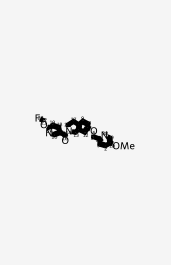 COc1ccc(COc2ccc3c(c2)CN(C(=O)c2ccc(OCF)nc2)CC3)nc1